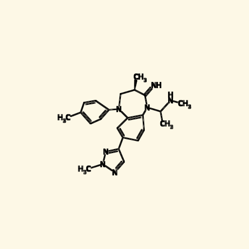 CNC(C)N1C(=N)[C@H](C)CN(c2ccc(C)cc2)c2cc(-c3cnn(C)n3)ccc21